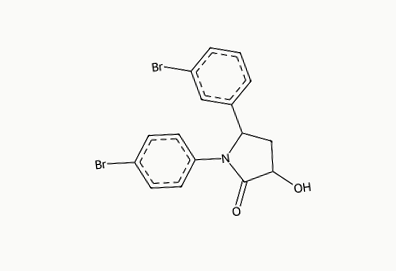 O=C1C(O)CC(c2cccc(Br)c2)N1c1ccc(Br)cc1